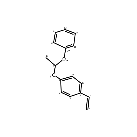 C=Cc1ccc(OC(C)Oc2ccccc2)cc1